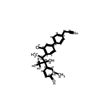 CC(c1ccc(-c2ccc(CC#N)cc2)cc1Cl)C(O)(c1ccc(=O)n(C)c1)C(F)(F)F